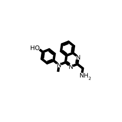 CN(c1ccc(O)cc1)c1nc(CN)nc2ccccc12